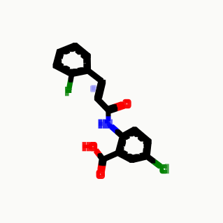 O=C(/C=C/c1ccccc1F)Nc1ccc(Cl)cc1C(=O)O